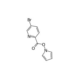 O=C(On1cccc1)c1ccc(Br)cn1